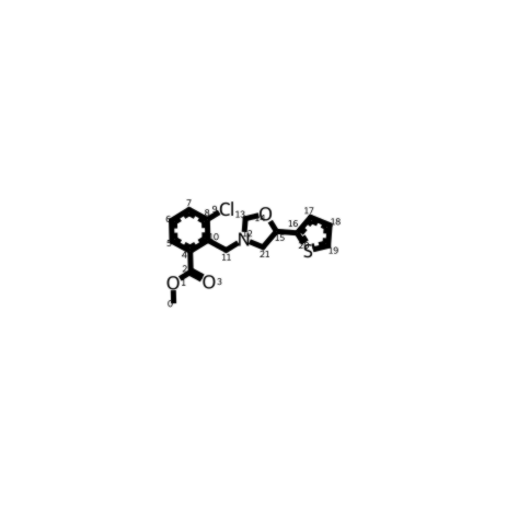 COC(=O)c1cccc(Cl)c1CN1COC(c2cccs2)C1